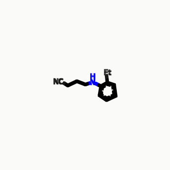 CCc1ccccc1NCCCC#N